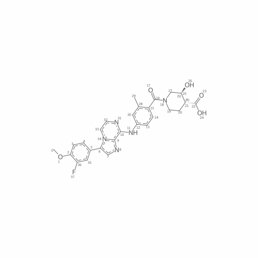 COc1ccc(-c2cnc3c(Nc4ccc(C(=O)N5CC[C@@H](C(=O)O)[C@H](O)C5)c(C)c4)nccn23)cc1F